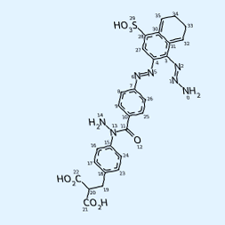 NN=Nc1c(/N=N/c2ccc(C(=O)N(N)c3ccc(CC(C(=O)O)C(=O)O)cc3)cc2)cc(S(=O)(=O)O)c2c1=CCCC=2